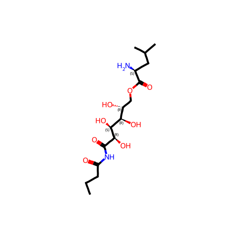 CCCC(=O)NC(=O)[C@H](O)[C@@H](O)[C@H](O)[C@H](O)COC(=O)[C@@H](N)CC(C)C